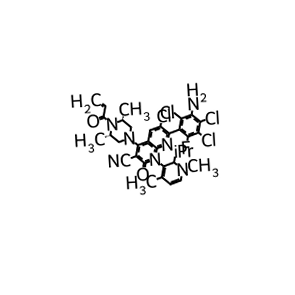 C=CC(=O)N1[C@H](C)CN(c2c(C#N)c(=O)n(C3=C(C)C=CN(C)C3C(C)C)c3nc(-c4c(F)c(Cl)c(Cl)c(N)c4Cl)c(Cl)cc23)C[C@@H]1C